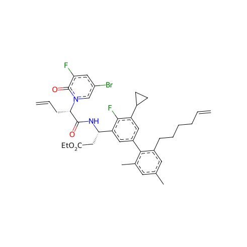 C=CCCCCc1cc(C)cc(C)c1-c1cc(C2CC2)c(F)c([C@H](CC(=O)OCC)NC(=O)[C@H](CC=C)n2cc(Br)cc(F)c2=O)c1